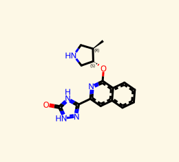 C[C@@H]1CNC[C@H]1Oc1nc(-c2n[nH]c(=O)[nH]2)cc2ccccc12